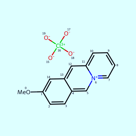 COc1ccc2c[n+]3ccccc3cc2c1.[O-][Cl+3]([O-])([O-])[O-]